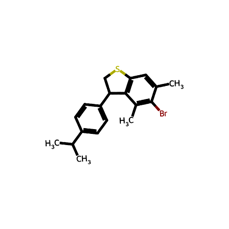 Cc1cc2c(c(C)c1Br)C(c1ccc(C(C)C)cc1)CS2